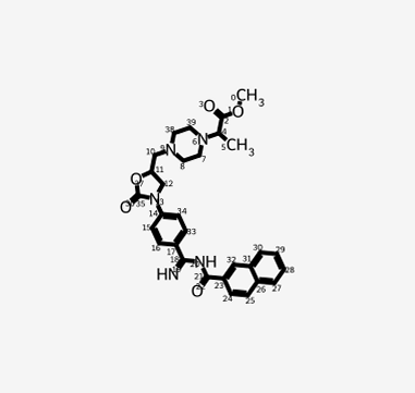 COC(=O)C(C)N1CCN(CC2CN(c3ccc(C(=N)NC(=O)c4ccc5ccccc5c4)cc3)C(=O)O2)CC1